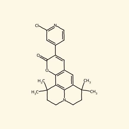 CC1(C)CCN2CCC(C)(C)c3c2c1cc1cc(-c2ccnc(Cl)c2)c(=O)oc31